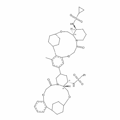 Cc1cc(C2C[C@H](NS(=O)(=O)C(C)C)[C@@H]3COC4CCC(CC4)c4ccccc4OCC(=O)N3C2)cc2c1C1CCC(CC1)OC[C@H]1[C@@H](NS(=O)(=O)C3CC3)CCCN1C(=O)CO2